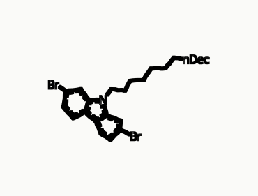 CCCCCCCCCCCCCCCCCn1c2cc(Br)ccc2c2ccc(Br)cc21